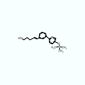 C[Si](C)(C)Oc1ccc(-c2cccc(/C=C/CCCO)c2)nc1